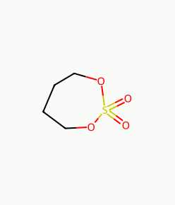 O=S1(=O)OCCCCO1